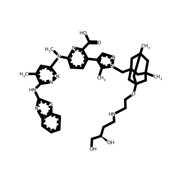 Cc1cc(N(C)c2ccc(-c3cnn(CC45CC6(C)CC(C)(C4)CC(OCCNCC[C@@H](O)CO)(C6)C5)c3C)c(C(=O)O)n2)nnc1Nc1nc2ccccc2s1